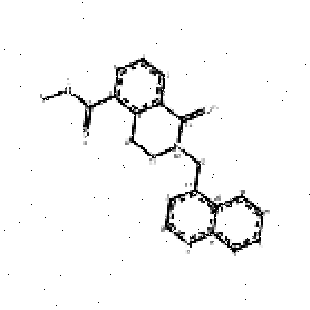 COC(=O)c1cccc2c1CCN(Cc1ccnc3ccccc13)C2=O